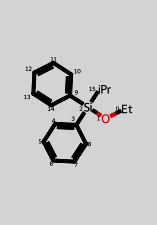 CCO[Si](c1ccccc1)(c1ccccc1)C(C)C